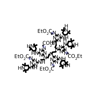 CCOC(=O)/C=N/c1nc(NCCN(CCN(CCN(CCNc2nc(/N=C/C(=O)OCC)nc(NC3CC(C)(C)NC(C)(C)C3)n2)c2nc(/N=C/C(=O)OCC)nc(NC3CC(C)(C)NC(C)(C)C3)n2)c2nc(/N=C/C(=O)OCC)nc(NC3CC(C)(C)NC(C)(C)C3)n2)c2nc(/N=C/C(=O)OCC)nc(NC3CC(C)(C)NC(C)(C)C3)n2)nc(NC2CC(C)(C)NC(C)(C)C2)n1